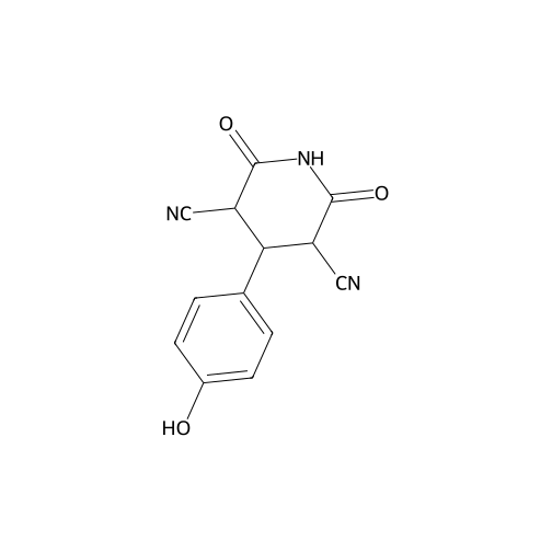 N#CC1C(=O)NC(=O)C(C#N)C1c1ccc(O)cc1